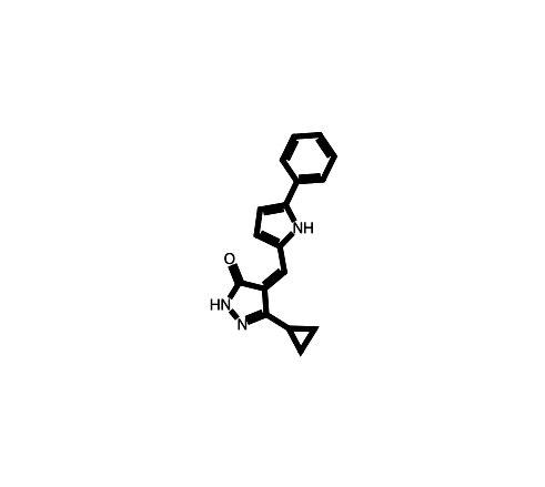 O=C1NN=C(C2CC2)/C1=C/c1ccc(-c2ccccc2)[nH]1